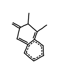 C=C1C=c2ccccc2=C(C)C1C